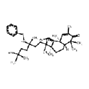 CCCC(C)(C)CC[C@@](C)(CCC(C)(C)[C@]1(C)CC[C@H]2C(C)(C)C(=O)C(C#N)=C[C@]2(C)/C1=C/C(C)=O)NSc1ccccc1